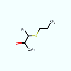 COC(=O)C(SCCC(F)(F)F)C(C)C